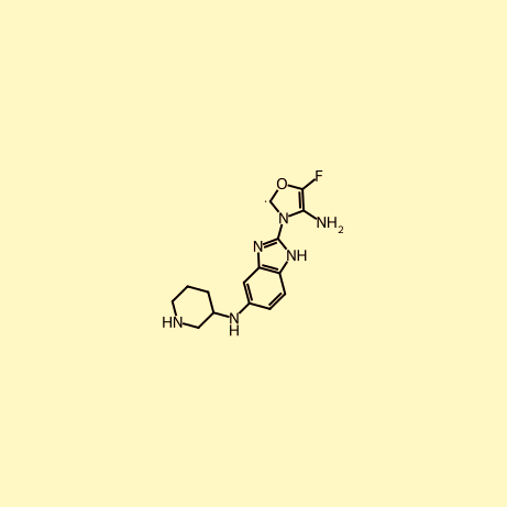 NC1=C(F)O[CH]N1c1nc2cc(NC3CCCNC3)ccc2[nH]1